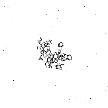 CCC(=O)O[C@H](CC)CC(=O)NC1[C@H](OCC2O[C@@H](O[Si](C)(C)C(C)(C)C)C(NC(=O)C[C@H](C)CC)[C@@H](OC(=O)C[C@H](C)CC)[C@@H]2C)OC(COCc2ccccc2)[C@@H](OP2(=O)OCc3ccccc3CO2)[C@@H]1OC(=O)C[C@@H](CC)OC(=O)CC